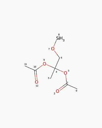 CC(=O)OC(C)(CO[SiH3])OC(C)=O